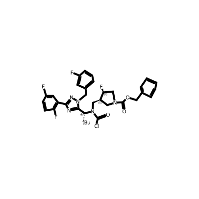 CC(C)(C)[C@H](c1nc(-c2cc(F)ccc2F)nn1Cc1cccc(F)c1)N(C[C@@H]1CN(C(=O)OCc2ccccc2)C[C@@H]1F)C(=O)Cl